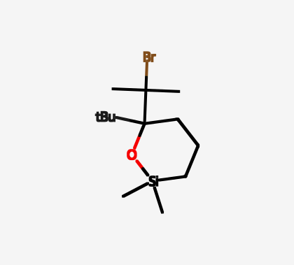 CC(C)(C)C1(C(C)(C)Br)CCC[Si](C)(C)O1